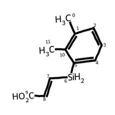 Cc1cccc([SiH2]C=CC(=O)O)c1C